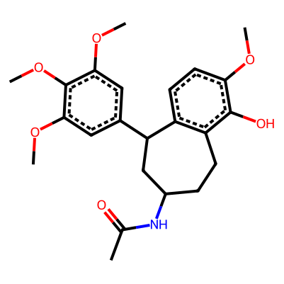 COc1ccc2c(c1O)CCC(NC(C)=O)CC2c1cc(OC)c(OC)c(OC)c1